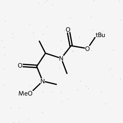 CON(C)C(=O)C(C)N(C)C(=O)OC(C)(C)C